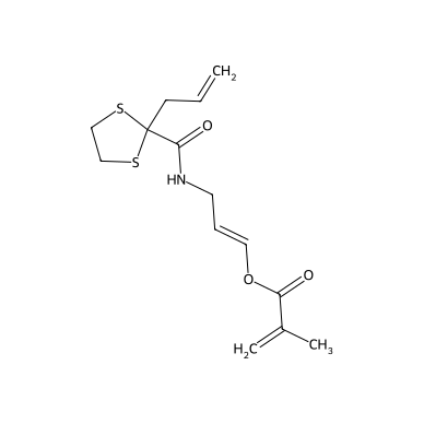 C=CCC1(C(=O)NCC=COC(=O)C(=C)C)SCCS1